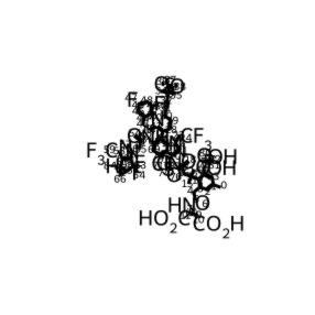 Cc1cc(CC(=O)N[C@@H](CC(=O)O)C(=O)O)c(C(C)(C)CC(=O)N(c2nn(CC(F)(F)F)c3c(-c4ccc(C#CC(C)(C)S(C)(=O)=O)nc4[C@H](Cc4cc(F)cc(F)c4)NC(=O)Cn4nc(C(F)(F)F)c5c4C(F)(F)C4C[C@H]54)ccc(Cl)c23)S(C)(=O)=O)c(OP(=O)(O)O)c1